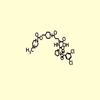 CN1CCN(C(=O)OCC2CCN(C(=O)CC[C@H](NC(=O)[C@H]3CCCN3S(=O)(=O)c3cc(Cl)cc(Cl)c3)C(=O)O)CC2)CC1